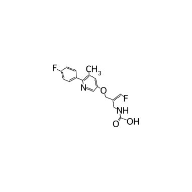 Cc1cc(OCC(=CF)CNC(=O)O)cnc1-c1ccc(F)cc1